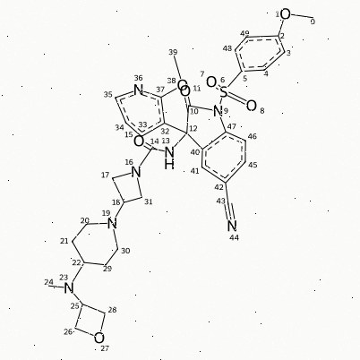 COc1ccc(S(=O)(=O)N2C(=O)C(NC(=O)N3CC(N4CCC(N(C)C5COC5)CC4)C3)(c3cccnc3OC)c3cc(C#N)ccc32)cc1